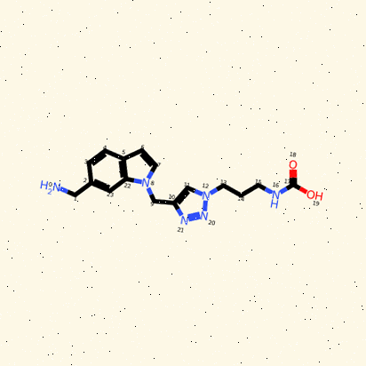 NCc1ccc2ccn(Cc3cn(CCCNC(=O)O)nn3)c2c1